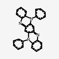 c1ccc(N2c3ccccc3N=c3cc4c(cc32)=Nc2ccccc2N4c2ccccc2)cc1